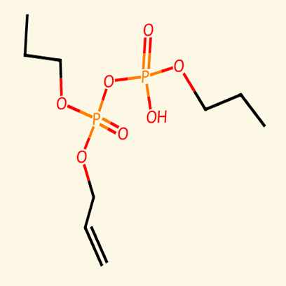 C=CCOP(=O)(OCCC)OP(=O)(O)OCCC